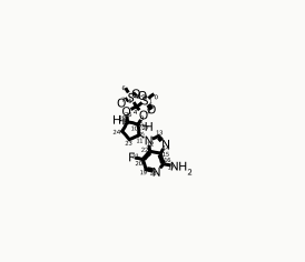 CS(=O)(=O)C1(S(C)(=O)=O)O[C@H]2[C@H](n3cnc4c(N)ncc(F)c43)CC[C@H]2O1